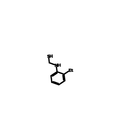 CCc1ccccc1NCS